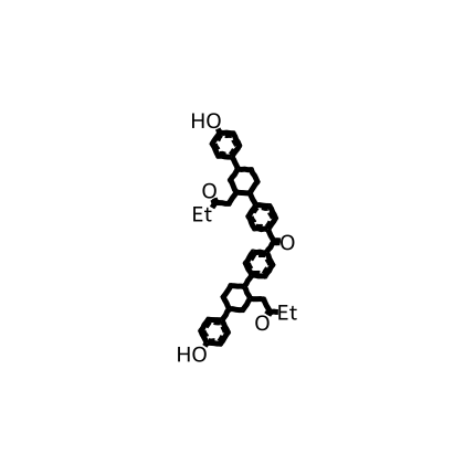 CCC(=O)CC1CC(c2ccc(O)cc2)CCC1c1ccc(C(=O)c2ccc(C3CCC(c4ccc(O)cc4)CC3CC(=O)CC)cc2)cc1